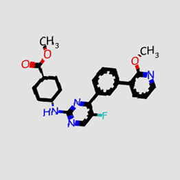 COc1ncccc1-c1cccc(-c2nc(N[C@H]3CC[C@H](C(=O)OC)CC3)ncc2F)c1